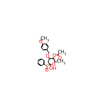 COc1ccc(CO[C@H]2C[C@@](O)([S+]([O-])c3ccccc3)O[C@@H](C)[C@H]2OC(C)=O)cc1